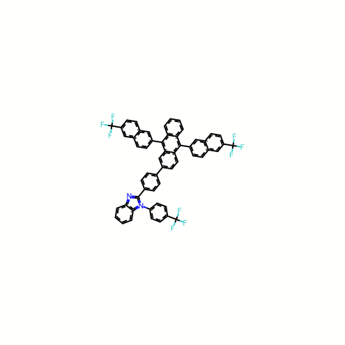 FC(F)(F)c1ccc(-n2c(-c3ccc(-c4ccc5c(-c6ccc7cc(C(F)(F)F)ccc7c6)c6ccccc6c(-c6ccc7cc(C(F)(F)F)ccc7c6)c5c4)cc3)nc3ccccc32)cc1